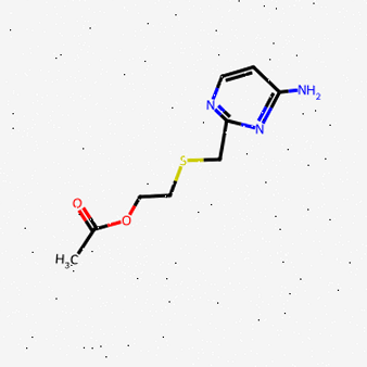 CC(=O)OCCSCc1nccc(N)n1